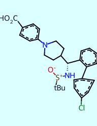 CC(C)(C)[S+]([O-])N[C@@H](c1ccccc1-c1ccc(Cl)cc1)C1CCN(c2ccc(C(=O)O)cc2)CC1